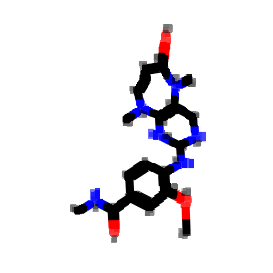 CNC(=O)c1ccc(NC2NCC3=C(N2)N(C)C=CC(=O)N3C)c(OC)c1